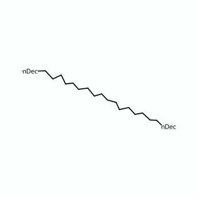 CCCCCCCCC[CH]CCCCCCCCCCCCCCCCCCCCCCCCCCC